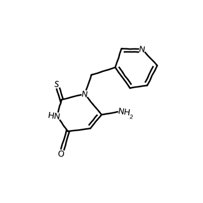 Nc1cc(=O)[nH]c(=S)n1Cc1cccnc1